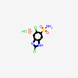 Cl.NS(=O)(=O)c1cc2[nH]c(Cl)nc2cc1Cl.O